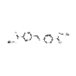 CCCCOC(=O)c1ccc(C=Cc2ccc(C(=O)OCCCC)cc2)cc1